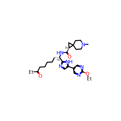 CCOc1ncc(-c2cnc([C@H](CCCCCC(=O)CC)NC(=O)[C@H]3CC34CCN(C)CC4)[nH]2)cn1